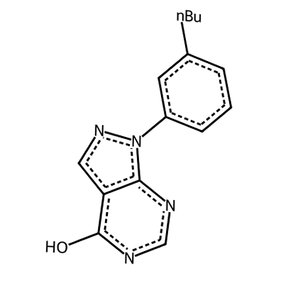 CCCCc1cccc(-n2ncc3c(O)ncnc32)c1